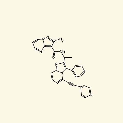 CC(NC(=O)c1c(N)nn2cccnc12)c1nc2cccc(C#Cc3ccncc3)n2c1-c1ccccc1